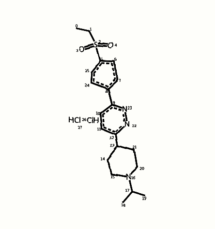 CCS(=O)(=O)c1ccc(-c2ccc(C3CCN(C(C)C)CC3)nn2)cc1.Cl.Cl